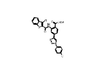 COC(=O)c1ccc(-c2cn(-c3ccc(Cl)cc3)nn2)cc1NC(=O)c1sc2ccccc2c1Cl